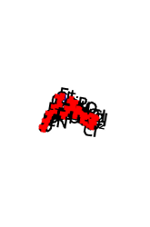 C#CC(OC(=O)[C@@H]1C(C=C(C)C)C1(C)C)/C(C)=C/CC.CC(C)[C@H](C(=O)O[C@H](C#N)c1cccc(Oc2ccccc2)c1)c1ccc(Cl)cc1.CC1(C)[C@H](C(=O)O[C@H](C#N)c2cccc(Oc3ccccc3)c2)[C@@H]1C(Br)C(Br)(Br)Br.CCC(C)c1cc([N+](=O)[O-])cc([N+](=O)[O-])c1OC(=O)OC(C)C.CCOP(=O)(Sc1ccccc1)Sc1ccccc1.O=S(=O)(c1ccc(Cl)cc1)c1cc(Cl)c(Cl)cc1Cl